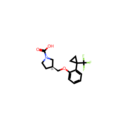 O=C(O)N1CC[C@H](COc2ccccc2C2(C(F)(F)F)CC2)C1